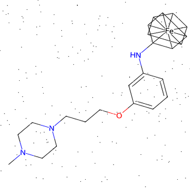 CN1CCN(CCCOc2cccc(N[C]34[CH]5[CH]6[CH]7[CH]3[Fe]6754389%10[CH]4[CH]3[CH]8[CH]9[CH]4%10)c2)CC1